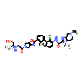 Cc1c(-c2nc3c(o2)CN(C(=O)CN[C@@H](C)CO)C3)cccc1-c1cccc(NC(=O)c2nc3c(n2C)CCN(C)C3)c1Cl